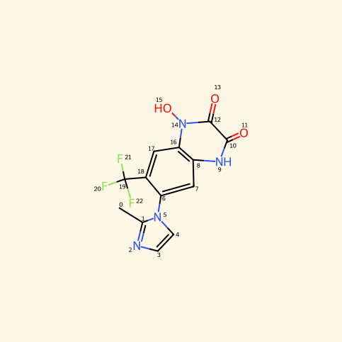 Cc1nccn1-c1cc2[nH]c(=O)c(=O)n(O)c2cc1C(F)(F)F